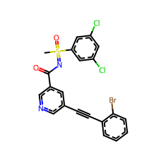 CS(=O)(=NC(=O)c1cncc(C#Cc2ccccc2Br)c1)c1cc(Cl)cc(Cl)c1